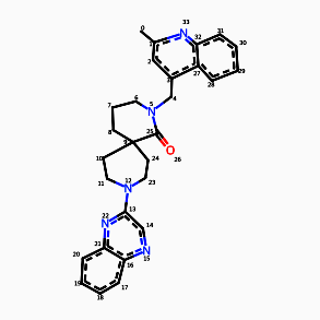 Cc1cc(CN2CCCC3(CCN(c4cnc5ccccc5n4)CC3)C2=O)c2ccccc2n1